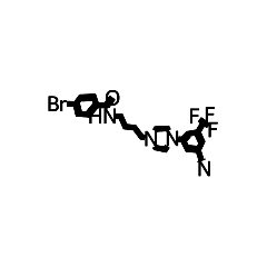 N#Cc1cc(N2CCN(CCCCNC(=O)c3ccc(Br)cc3)CC2)cc(C(F)(F)F)c1